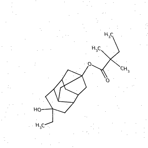 CCC1(O)CC2C3CC4CC(OC(=O)C(C)(C)CC)(C3)CC2C4C1